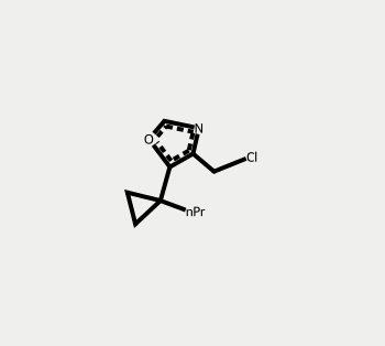 CCCC1(c2ocnc2CCl)CC1